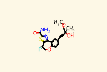 COC[C@](C)(O)C#Cc1ccc2c(c1)-c1nc(C(N)=O)sc1[C@@H](F)CO2